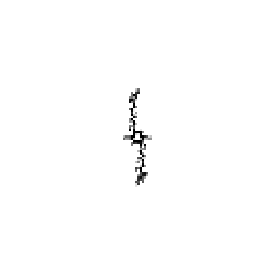 [N-]=[N+]=NCCOCCOc1cc(I)c(OCCOCCN=[N+]=[N-])cc1I